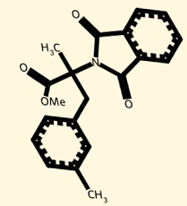 COC(=O)C(C)(Cc1cccc(C)c1)N1C(=O)c2ccccc2C1=O